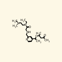 C=C(OC(C)CC(C)=O)c1ccnc(CNCC(=O)N(CC)CCN(C)C)c1